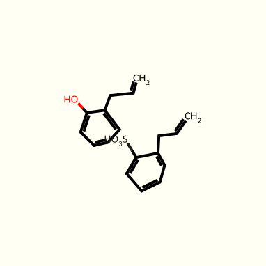 C=CCc1ccccc1O.C=CCc1ccccc1S(=O)(=O)O